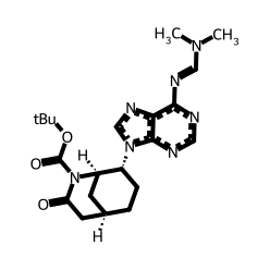 CN(C)C=Nc1ncnc2c1ncn2[C@@H]1CC[C@H]2CC(=O)N(C(=O)OC(C)(C)C)[C@@H]1C2